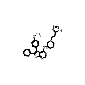 COc1ccc(-c2c(-c3ccccc3)oc3ncnc(O[C@@H]4CCCN(CCc5nnn[nH]5)C4)c23)cc1